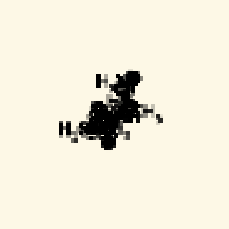 CCCC(NC(=O)[C@@H]1C[C@@H](OCc2ccccc2)CN1C(=O)[C@@H](NC(=O)[C@H](CC(C)C)NS(C)(=O)=O)C1CCCCC1)C(=O)C(=O)NCCOC(C(N)=O)c1ccccc1